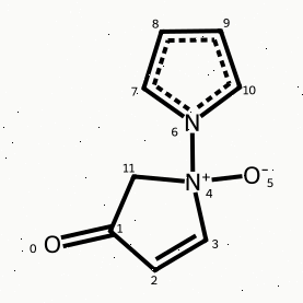 O=C1C=C[N+]([O-])(n2cccc2)C1